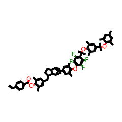 C=Cc1ccc(C(=O)Oc2c(C)cc(CC3CCC4C5CCC(C5c5cc(C)c(Oc6c(F)c(F)c(C(C)(C)Oc7c(C)cc(C(C)(C)Oc8c(C)cc(C)cc8C)cc7C)c(F)c6F)c(C)c5)C34)cc2C)cc1